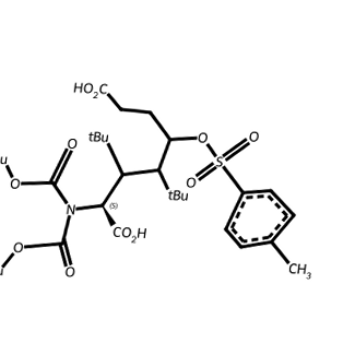 Cc1ccc(S(=O)(=O)OC(CCC(=O)O)C(C([C@@H](C(=O)O)N(C(=O)OC(C)(C)C)C(=O)OC(C)(C)C)C(C)(C)C)C(C)(C)C)cc1